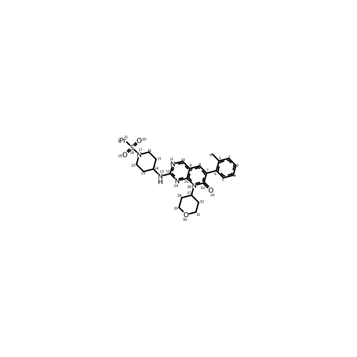 Cc1ccccc1-c1cc2cnc(NC3CCN(S(=O)(=O)C(C)C)CC3)nc2n(C2CCOCC2)c1=O